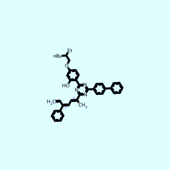 C=C/C(=C\C=C(/C)c1nc(-c2ccc(-c3ccccc3)cc2)nc(-c2ccc(OCC(CC)CCCC)cc2O)n1)c1ccccc1